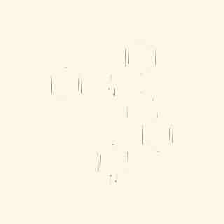 Cc1cc(-c2cccc3c2C[C@H](N(Cc2ccccc2)Cc2ccccc2)CO3)cnc1F